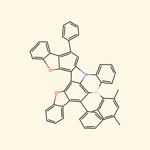 Cc1cc(C)c(B2c3ccccc3-n3c4cc(-c5ccccc5)c5c6ccccc6oc5c4c4c5oc6ccccc6c5c(-c5ccccc5)c2c43)c(C)c1